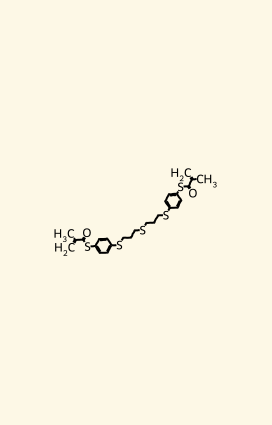 C=C(C)C(=O)Sc1ccc(SCCCSCCCSc2ccc(SC(=O)C(=C)C)cc2)cc1